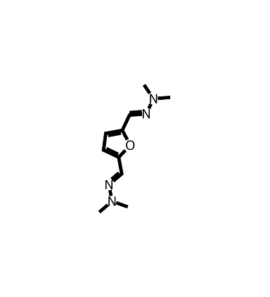 CN(C)/N=C/c1ccc(/C=N/N(C)C)o1